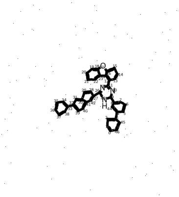 c1ccc(-c2cccc(C3N=C(c4cccc5oc6ccccc6c45)N=C(c4ccc5cc(-c6ccccc6)ccc5c4)N3)c2)cc1